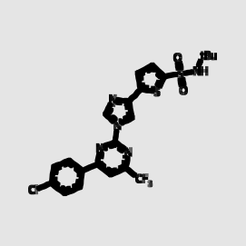 CC(C)(C)NS(=O)(=O)c1ccc(-c2cn(-c3nc(-c4ccc(Cl)cc4)cc(C(F)(F)F)n3)cn2)s1